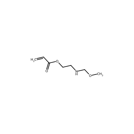 C=CC(=O)OCCNCOC